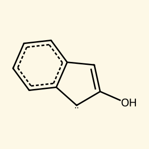 OC1=Cc2ccccc2[C]1